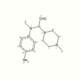 CN1CCN(C(C=O)N(C)c2ccc(N)cc2)CC1